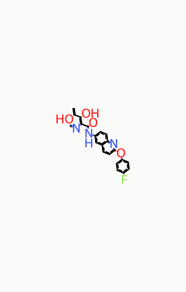 C=N/C(C(=O)Nc1ccc2nc(Oc3ccc(F)cc3)ccc2c1)=C(/O)C(=C)O